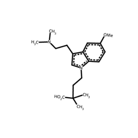 COc1ccc2c(c1)c(CCN(C)C)cn2CCC(C)(C)C(=O)O